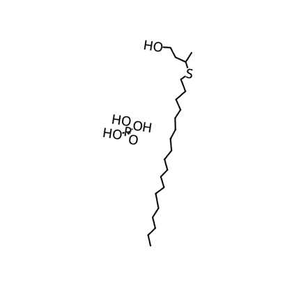 CCCCCCCCCCCCCCCCCCSC(C)CCO.O=P(O)(O)O